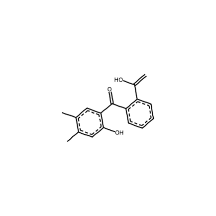 C=C(O)c1ccccc1C(=O)c1cc(C)c(C)cc1O